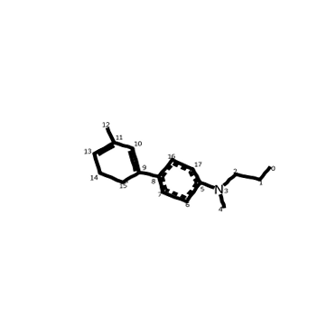 CCCN(C)c1ccc(C2=CC(C)=CC[CH]2)cc1